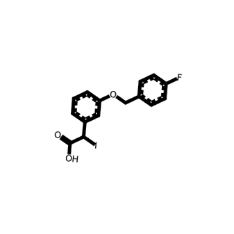 O=C(O)C(I)c1cccc(OCc2ccc(F)cc2)c1